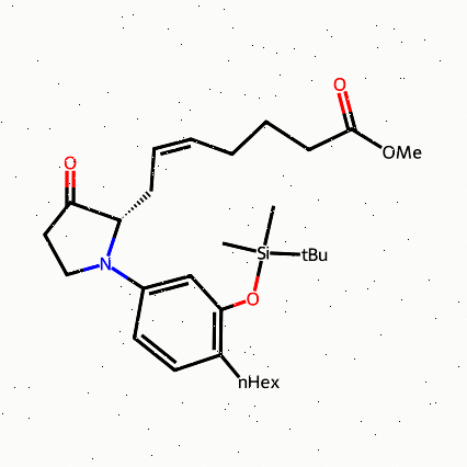 CCCCCCc1ccc(N2CCC(=O)[C@@H]2C/C=C\CCCC(=O)OC)cc1O[Si](C)(C)C(C)(C)C